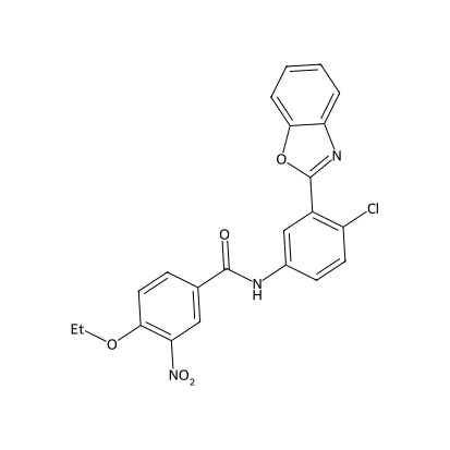 CCOc1ccc(C(=O)Nc2ccc(Cl)c(-c3nc4ccccc4o3)c2)cc1[N+](=O)[O-]